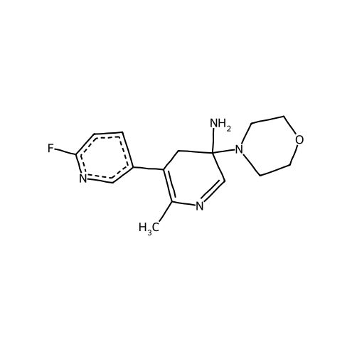 CC1=C(c2ccc(F)nc2)CC(N)(N2CCOCC2)C=N1